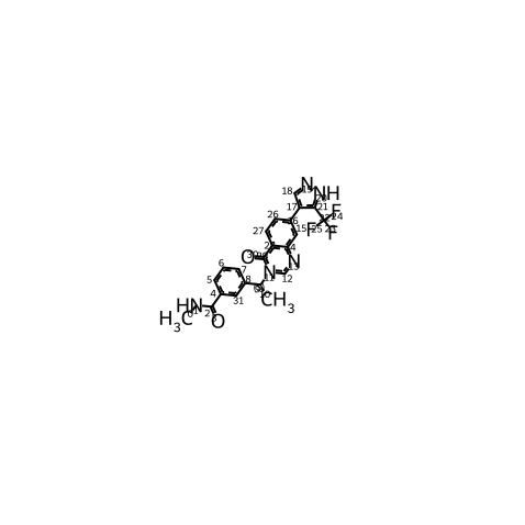 CNC(=O)c1cccc([C@H](C)n2cnc3cc(-c4cn[nH]c4C(F)(F)F)ccc3c2=O)c1